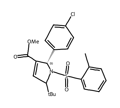 COC(=O)C1=CC(C(C)(C)C)N(S(=O)(=O)c2ccccc2C)[C@H]1c1ccc(Cl)cc1